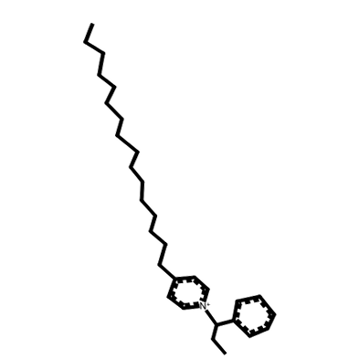 CCCCCCCCCCCCCCCCc1cc[n+](C(CC)c2ccccc2)cc1